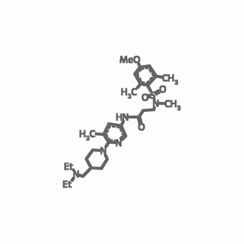 CCN(CC)CC1CCN(c2ncc(NC(=O)CCN(C)S(=O)(=O)c3c(C)cc(OC)cc3C)cc2C)CC1